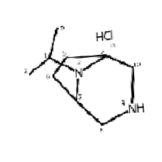 CC(C)N1C2CCC1CNC2.Cl